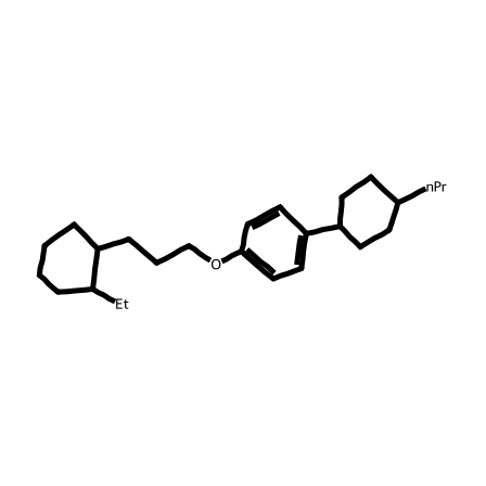 CCCC1CCC(c2ccc(OCCCC3CCCCC3CC)cc2)CC1